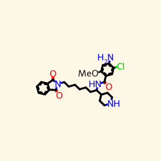 COc1cc(N)c(Cl)cc1C(=O)NC(CCCCCCN1C(=O)c2ccccc2C1=O)C1CCNCC1